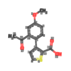 COc1ccc(-c2ccsc2C(=O)O)c(C(C)=O)c1